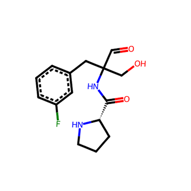 O=CC(CO)(Cc1cccc(F)c1)NC(=O)[C@@H]1CCCN1